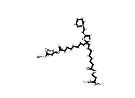 CCCCCC(CCCCC)CCOC(=O)CCCCCCCC1(CCCCCCCC(=O)OCCC(CCCCC)CCCCC)OC[C@H](CCN2CCCCC2)O1